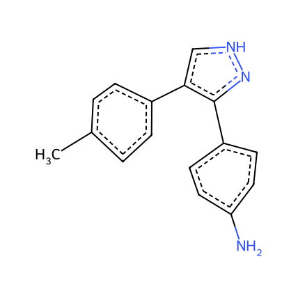 Cc1ccc(-c2c[nH]nc2-c2ccc(N)cc2)cc1